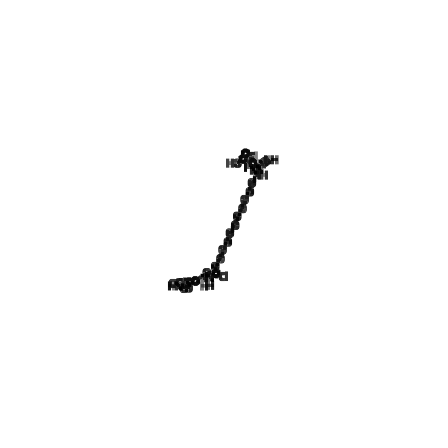 O=C1CCC(N2Cc3cc(CNC(=O)Nc4cc(Cl)cc(OCCOCCOCCOCCOCCOCCOCCOCCOCCOCCOCCNc5nc(N6CCNCC6)c6cc(Cl)c(-c7cc(O)cc8ccccc78)c(F)c6n5)c4)ccc3C2=O)C(=O)N1